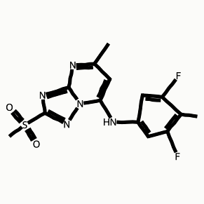 Cc1cc(Nc2cc(F)c(C)c(F)c2)n2nc(S(C)(=O)=O)nc2n1